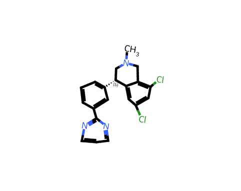 CN1Cc2c(Cl)cc(Cl)cc2[C@H](c2cccc(-c3ncccn3)c2)C1